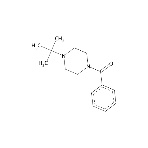 CC(C)(C)N1CCN(C(=O)c2ccccc2)CC1